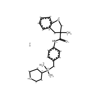 CC1(C(=O)Nc2ccc(C[N+](C)(C)C3CCOCC3)cc2)COc2ccccc2C1.[I-]